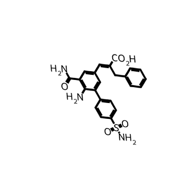 NC(=O)c1cc(/C=C(\Cc2ccccc2)C(=O)O)cc(-c2ccc(S(N)(=O)=O)cc2)c1N